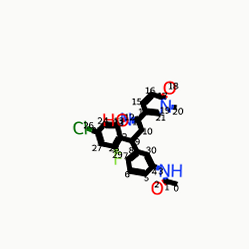 CC(=O)Nc1cccc(C(C/C(=N\O)c2ccc(=O)n(C)c2)c2ccc(Cl)cc2F)c1